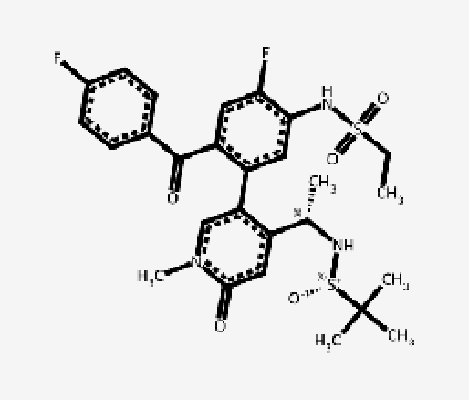 CCS(=O)(=O)Nc1cc(-c2cn(C)c(=O)cc2[C@H](C)N[S@@+]([O-])C(C)(C)C)c(C(=O)c2ccc(F)cc2)cc1F